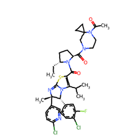 CC[C@@H]1CC[C@@H](C(=O)N2CCN(C(C)=O)C3(CC3)C2)N1C(=O)C1=C(C(C)C)N2C(=N[C@@](C)(c3ccc(Cl)nc3)[C@H]2c2ccc(Cl)c(F)c2)S1